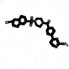 Nc1nccc(-c2ccc(C(=O)N3CCN(S(=O)(=O)c4ccc5cc(Cl)ccc5c4)CC3)cc2)n1